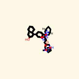 CN1CCC[C@H]1COc1nc(N2[C@@H]3CC[C@H]2CN(C(=O)CCC2CCCNC2)C3)c2ccc(-c3cc(O)cc4ccccc34)cc2n1